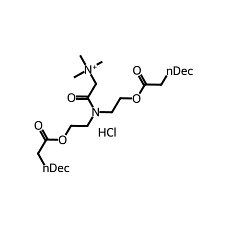 CCCCCCCCCCCC(=O)OCCN(CCOC(=O)CCCCCCCCCCC)C(=O)C[N+](C)(C)C.Cl